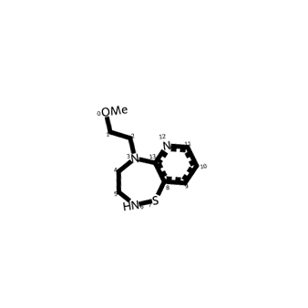 COCCN1CCNSc2cccnc21